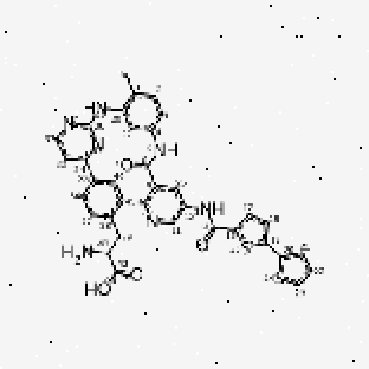 Cc1ccc(NC(=O)c2cncc(NC(=O)c3ccc(-c4cccs4)s3)c2)cc1Nc1nccc(-c2ccc(CC(N)C(=O)O)cc2)n1